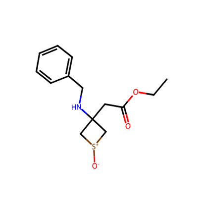 CCOC(=O)CC1(NCc2ccccc2)C[S+]([O-])C1